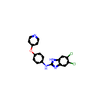 Clc1cc2nc(Nc3ccc(Oc4ccncc4)cc3)[nH]c2cc1Cl